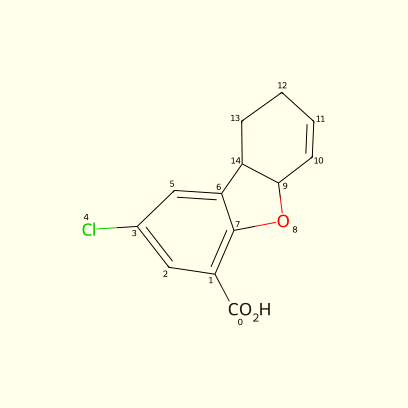 O=C(O)c1cc(Cl)cc2c1OC1C=CCCC21